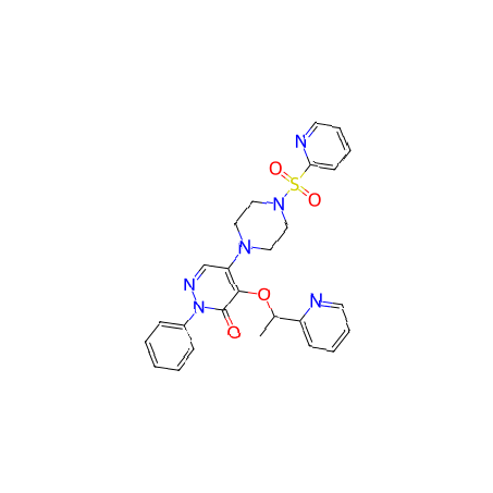 CC(Oc1c(N2CCN(S(=O)(=O)c3ccccn3)CC2)cnn(-c2ccccc2)c1=O)c1ccccn1